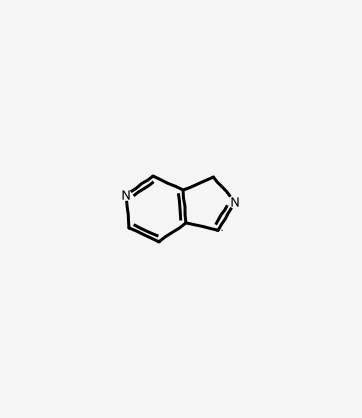 [C]1=NCc2cnccc21